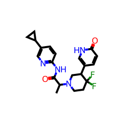 CC(C(=O)Nc1ccc(C2CC2)cn1)N1CCC(F)(F)C(c2ccc(=O)[nH]c2)C1